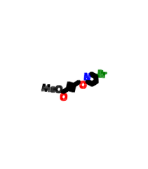 COC(=O)C12CC(COc3ccc(Br)cn3)(C1)C2